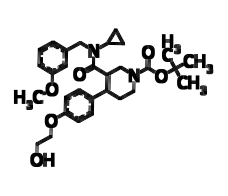 COc1cccc(CN(C(=O)C2=C(c3ccc(OCCO)cc3)CCN(C(=O)OC(C)(C)C)C2)C2CC2)c1